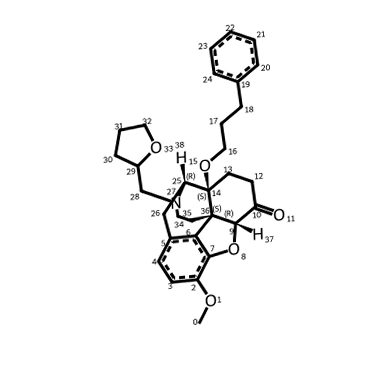 COc1ccc2c3c1O[C@H]1C(=O)CC[C@@]4(OCCCc5ccccc5)[C@@H](C2)N(CC2CCCO2)CC[C@]314